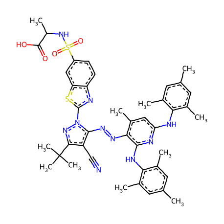 Cc1cc(C)c(Nc2cc(C)c(N=Nc3c(C#N)c(C(C)(C)C)nn3-c3nc4ccc(S(=O)(=O)NC(C)C(=O)O)cc4s3)c(Nc3c(C)cc(C)cc3C)n2)c(C)c1